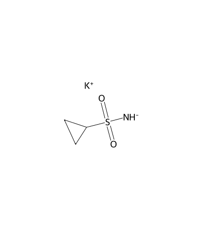 [K+].[NH-]S(=O)(=O)C1CC1